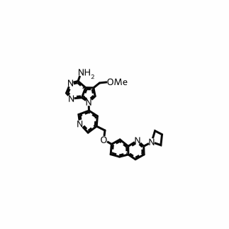 COCc1cn(-c2cncc(COc3ccc4ccc(N5CCC5)nc4c3)c2)c2ncnc(N)c12